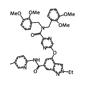 CCn1cc2c(Oc3cnc(C(=O)N(Cc4cccc(OC)c4OC)Cc4cccc(OC)c4OC)cn3)cc(C(=O)Nc3ccc(C)cn3)cc2n1